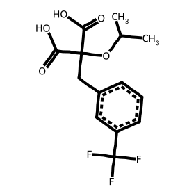 CC(C)OC(Cc1cccc(C(F)(F)F)c1)(C(=O)O)C(=O)O